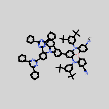 [C-]#[N+]c1ccc2c(c1)N(c1cc(C(C)(C)C)cc(C(C)(C)C)c1)c1cc(-c3ccc4c(c3)c3ccccc3n4-c3ccc(-c4nc(-c5ccccc5)cc(-c5ccccc5)n4)cc3-c3nc(-c4ccccc4)nc(-c4ccccc4)n3)cc3c1B2c1ccc(C#N)cc1N3c1cc(C(C)(C)C)cc(C(C)(C)C)c1